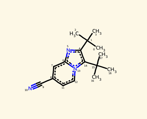 CC(C)(C)c1nc2cc(C#N)ccn2c1C(C)(C)C